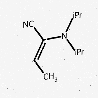 CC=C(C#N)N(C(C)C)C(C)C